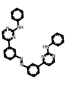 c1ccc(Nc2nccc(-c3cccc(N=Nc4cccc(-c5ccnc(Nc6ccccc6)n5)c4)c3)n2)cc1